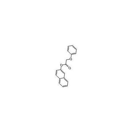 O=C(COc1ccccc1)Oc1ccc2ccccc2c1